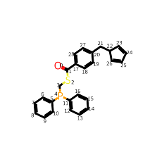 O=C(SCP(c1ccccc1)c1ccccc1)c1ccc(CC2C=CC=C2)cc1